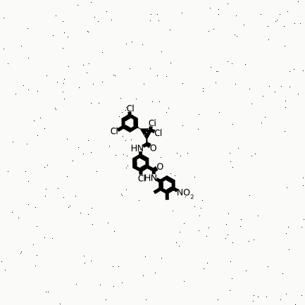 Cc1c(NC(=O)c2cc(NC(=O)[C@H]3[C@H](c4cc(Cl)cc(Cl)c4)C3(Cl)Cl)ccc2Cl)ccc([N+](=O)[O-])c1C